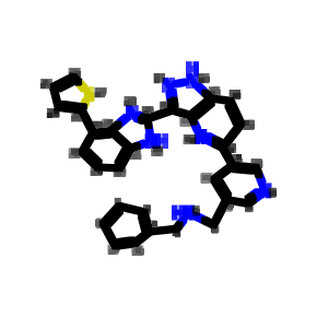 c1ccc(CNCc2cncc(-c3ccc4[nH]nc(-c5nc6c(-c7cccs7)cccc6[nH]5)c4n3)c2)cc1